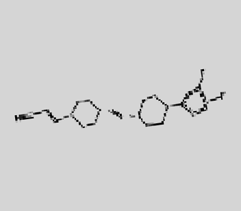 N#CC=C[C@H]1CC[C@H](C=C[C@H]2CC[C@H](c3ccc(F)c(F)c3)CC2)CC1